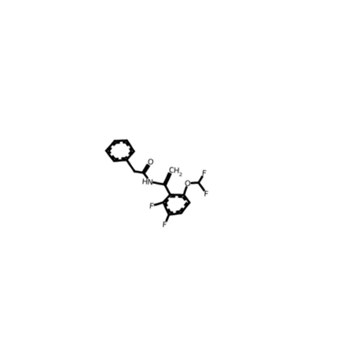 C=C(NC(=O)Cc1ccccc1)c1c(OC(F)F)ccc(F)c1F